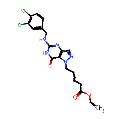 CCOC(=O)CCCCn1ncc2nc(NCc3ccc(Cl)c(Cl)c3)[nH]c(=O)c21